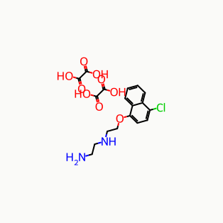 NCCNCCOc1ccc(Cl)c2ccccc12.O=C(O)C(=O)O.O=C(O)C(=O)O